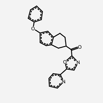 O=C(c1ncc(-c2ccccn2)o1)C1CCc2cc(Oc3ccccc3)ccc2C1